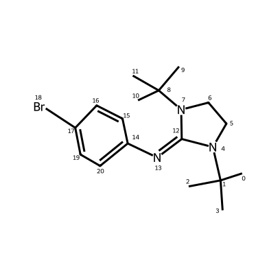 CC(C)(C)N1CCN(C(C)(C)C)C1=Nc1ccc(Br)cc1